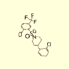 O=S(=O)(c1cc(C(F)(F)F)ccc1Cl)N1CCC(C2C=CCC=C2Cl)CC1